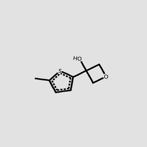 Cc1ccc(C2(O)COC2)s1